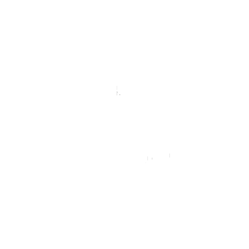 CCOC(=O)[C@H](Cc1c[nH]c2ccccc12)c1ccccc1F